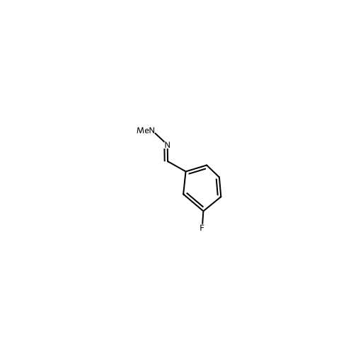 CN/N=C/c1cccc(F)c1